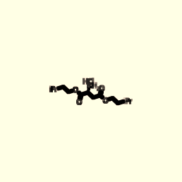 CC(C)CCOC(=O)C[C@H](N)C(=O)OCCC(C)C.Cl